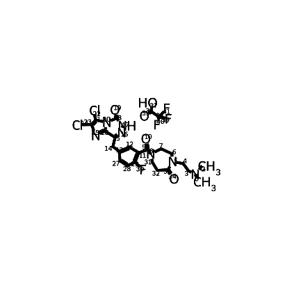 CN(C)CCN1CCN(C(=O)c2cc(Cc3n[nH]c(=O)n4c(Cl)c(Cl)nc34)ccc2F)CCC1=O.O=C(O)C(F)(F)F